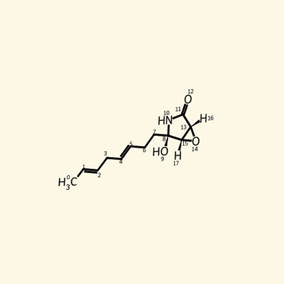 C/C=C/C/C=C/CC[C@]1(O)NC(=O)[C@@H]2O[C@@H]21